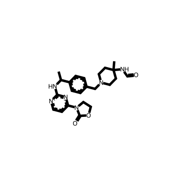 CC(Nc1nccc(N2CCOC2=O)n1)c1ccc(CN2CCC(C)(NC=O)CC2)cc1